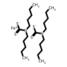 CCCCCN(CCCCC)C(=S)[S-].CCCCCN(CCCCC)C(=S)[S-].[Fe+2]